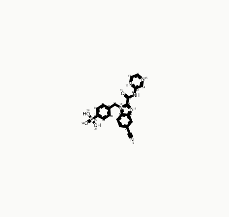 N#Cc1ccc2c(c1)nc(C(=O)Nc1cnccn1)n2Cc1ccc(P(=O)(O)O)cc1